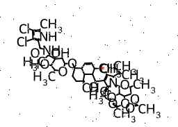 C=C1CCC(OC2CC(O)(C(C)NC(=O)c3[nH]c(C)c(Cl)c3Cl)C(O)C(C)O2)C2C=CC(C)C(C(=O)C3=C(O)C(C(C)C)N(C4OC(C)C(OC(C)=O)C(OC(C)=O)C4OC)C3=O)C12